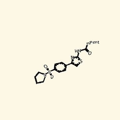 CCCCCC(=O)Nc1nc(-c2ccc(S(=O)(=O)N3CCCC3)cc2)cs1